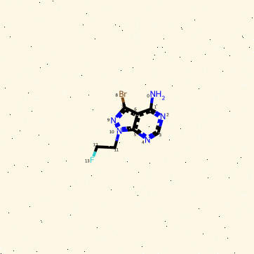 Nc1ncnc2c1c(Br)nn2CCF